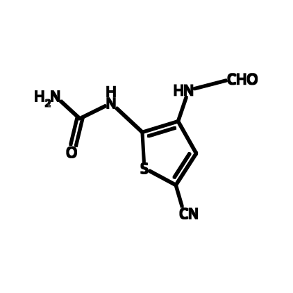 N#Cc1cc(NC=O)c(NC(N)=O)s1